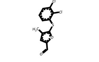 Cc1cc(C=O)oc1Sc1cccc(Cl)c1Cl